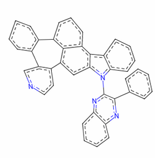 c1ccc(-c2nc3ccccc3nc2-n2c3ccccc3c3c4cccc5c4c(cc32)-c2ccncc2-c2ccccc2-5)cc1